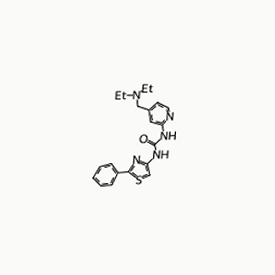 CCN(CC)Cc1ccnc(NC(=O)Nc2csc(-c3ccccc3)n2)c1